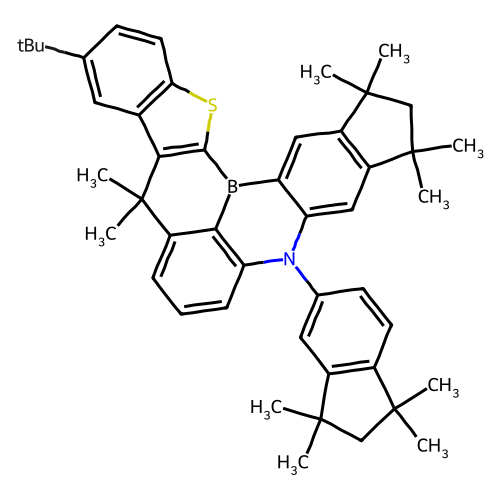 CC(C)(C)c1ccc2sc3c(c2c1)C(C)(C)c1cccc2c1B3c1cc3c(cc1N2c1ccc2c(c1)C(C)(C)CC2(C)C)C(C)(C)CC3(C)C